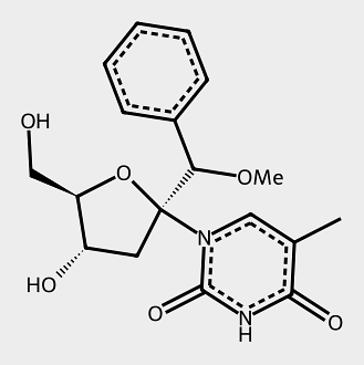 COC(c1ccccc1)[C@]1(n2cc(C)c(=O)[nH]c2=O)C[C@H](O)[C@@H](CO)O1